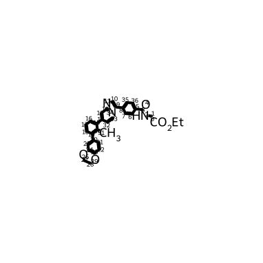 CCOC(=O)CNC(=O)c1ccc(-c2cnc3cc(-c4cccc(-c5ccc6c(c5)OCCO6)c4C)ccn23)cc1